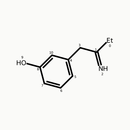 CCC(=N)Cc1cccc(O)c1